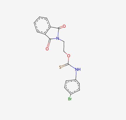 O=C1c2ccccc2C(=O)N1CCOC(=S)Nc1ccc(Br)cc1